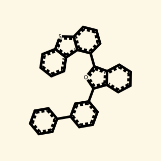 c1ccc(-c2cccc(-c3oc(-c4cccc5sc6ccccc6c45)c4ccccc34)c2)cc1